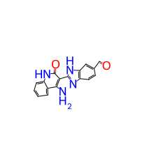 Nc1c(-c2nc3ccc(C=O)cc3[nH]2)c(=O)[nH]c2ccccc12